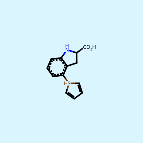 O=C(O)C1Cc2c(cccc2[SH]2C=CC=C2)N1